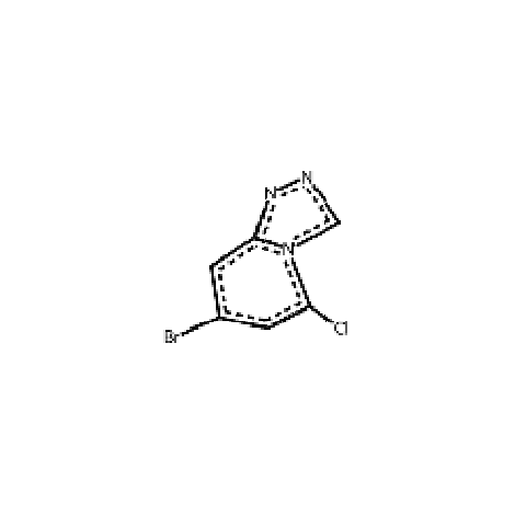 Clc1cc(Br)cc2nncn12